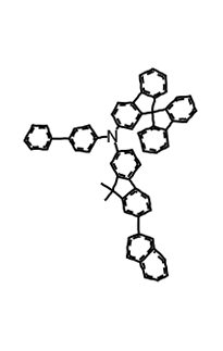 CC1(C)c2cc(-c3ccc4ccccc4c3)ccc2-c2ccc(N(c3ccc(-c4ccccc4)cc3)c3ccc4c(c3)C3(c5ccccc5-c5ccccc53)c3ccccc3-4)cc21